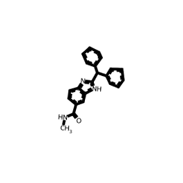 CNC(=O)c1ccc2nc(C(c3ccccc3)c3ccccc3)[nH]c2c1